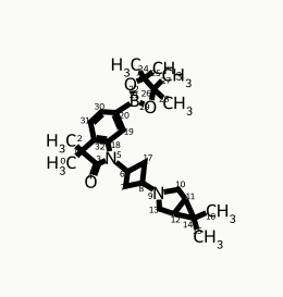 CC1(C)C(=O)N(C2CC(N3CC4C(C3)C4(C)C)C2)c2cc(B3OC(C)(C)C(C)(C)O3)ccc21